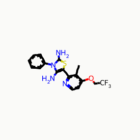 Cc1c(OCC(F)(F)F)ccnc1C1=C(N)N(c2ccccc2)C(N)S1